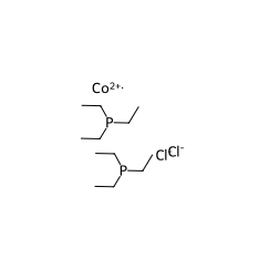 CCP(CC)CC.CCP(CC)CC.[Cl-].[Cl-].[Co+2]